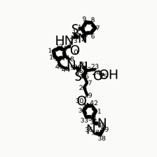 O=C(Nc1nc2ccccc2s1)c1cccc2c1CN(c1nc(COO)c(CCCOc3ccc(-c4ncccn4)cc3)s1)CC2